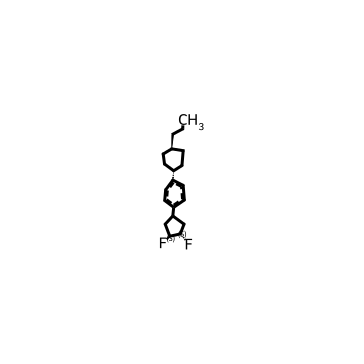 CCC[C@H]1CC[C@H](c2ccc(C3C[C@H](F)[C@@H](F)C3)cc2)CC1